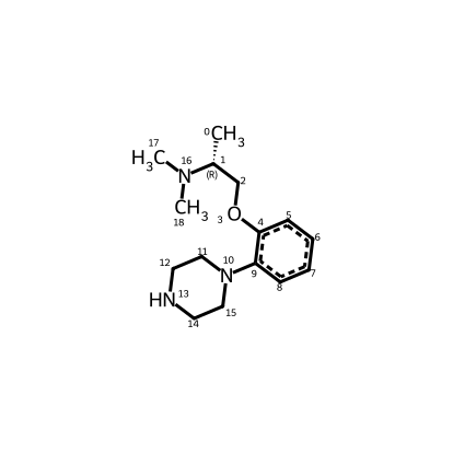 C[C@H](COc1ccccc1N1CCNCC1)N(C)C